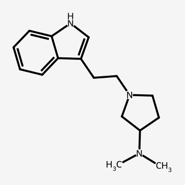 CN(C)C1CCN(CCc2c[nH]c3ccccc23)C1